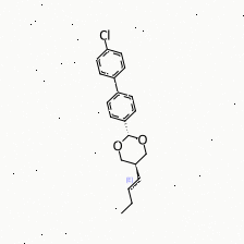 CC/C=C/[C@H]1CO[C@H](c2ccc(-c3ccc(Cl)cc3)cc2)OC1